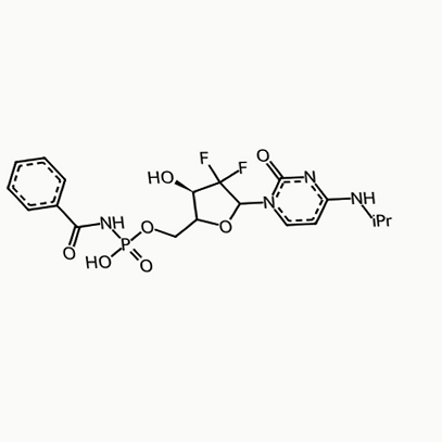 CC(C)Nc1ccn(C2OC(COP(=O)(O)NC(=O)c3ccccc3)[C@@H](O)C2(F)F)c(=O)n1